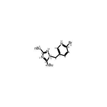 CCCCc1nc(CCCC)n(Cc2ccc(Br)nc2)n1